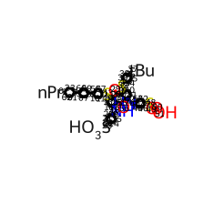 CCCC1CCC(c2ccc(-c3ccc(Sc4ccc(Nc5ccc(S(=O)(=O)O)cc5)c5c4C(=O)c4c(Sc6ccc(C(C)(C)C)cc6)ccc(Nc6ccc(SOOO)cc6)c4C5=O)cc3)cc2)CC1